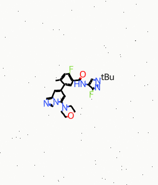 Cc1cc(F)c(C(=O)Nc2cn(C(C)(C)C)nc2F)cc1-c1cc(N2CCOCC2)n2cncc2c1